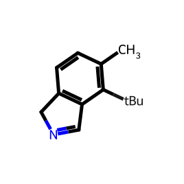 Cc1ccc2c(c1C(C)(C)C)C=NC2